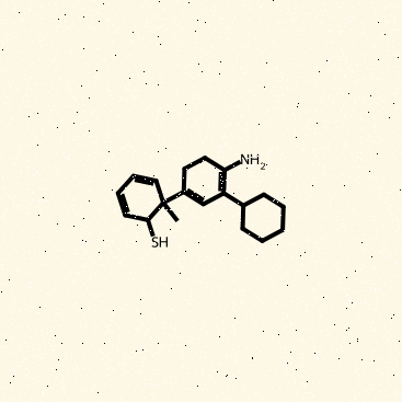 CC1(C2=CC(C3CCCCC3)=C(N)CC2)C=CC=CC1S